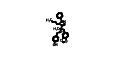 CCCCn1c(C(C)(Cc2ccc3c(c2)OCO3)NCc2ccc(O)cc2)cnc1-c1ccccc1